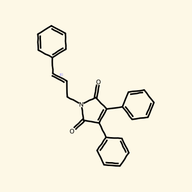 O=C1C(c2ccccc2)=C(c2ccccc2)C(=O)N1C/C=C/c1ccccc1